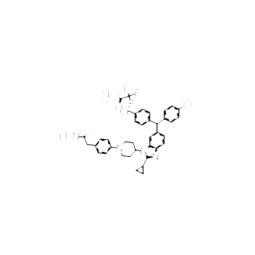 NC(=O)Cc1ccc(N2CCC(n3c(C4CC4)nc4ccc(C(c5ccc(Cl)cc5)c5ccc(Cl)cc5)cc43)CC2)cc1.O=C(O)C(F)(F)F